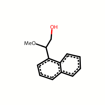 COC(CO)c1cccc2ccccc12